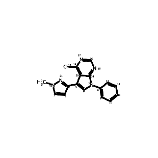 Cn1ccc(-c2cn(-c3ccccc3)c3ncnc(Cl)c23)n1